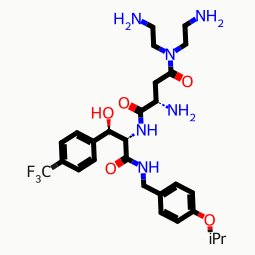 CC(C)Oc1ccc(CNC(=O)[C@@H](NC(=O)[C@@H](N)CC(=O)N(CCN)CCN)[C@H](O)c2ccc(C(F)(F)F)cc2)cc1